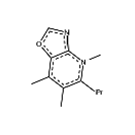 Cc1c(C)c2ocnc2[n+](C)c1C(C)C